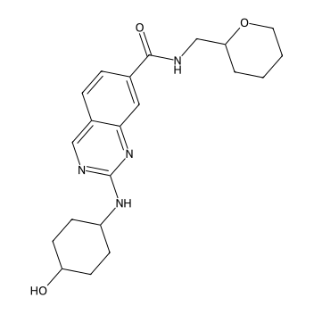 O=C(NCC1CCCCO1)c1ccc2cnc(NC3CCC(O)CC3)nc2c1